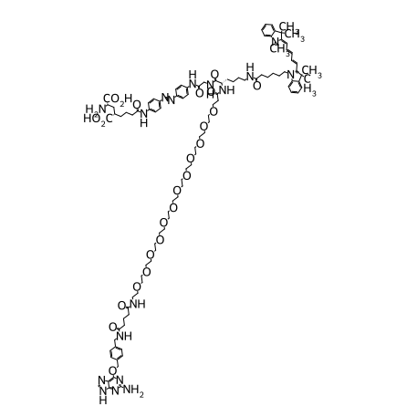 CN1\C(=C/C=C/C=C/C2=[N+](CCCCCC(=O)NCCCC[C@H](NC(=O)CCOCCOCCOCCOCCOCCOCCOCCOCCOCCOCCOCCOCCNC(=O)CCCC(=O)NCc3ccc(COc4nc(N)nc5[nH]cnc45)cc3)C(=O)NCC(=O)Nc3ccc(/N=N/c4ccc(NC(=O)CCC[C@@H](C[C@H](N)C(=O)O)C(=O)O)cc4)cc3)c3ccccc3C2(C)C)C(C)(C)c2ccccc21